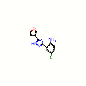 Nc1ccc(Cl)cc1-c1n[nH]c(-c2ccoc2)n1